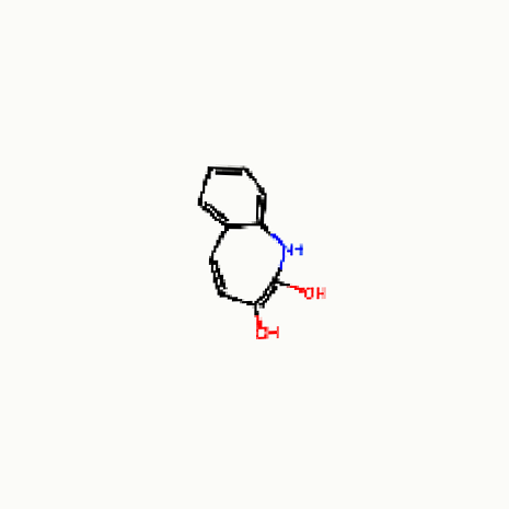 OC1=C(O)Nc2ccccc2C=C1